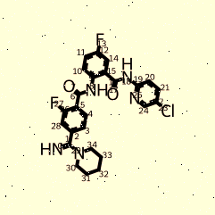 N=C(c1ccc(C(=O)Nc2ccc(F)cc2C(=O)Nc2ccc(Cl)cn2)c(F)c1)N1CCCCC1